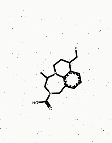 CC1CN(C(=O)O)Cc2cccc3c2N1CCC3CF